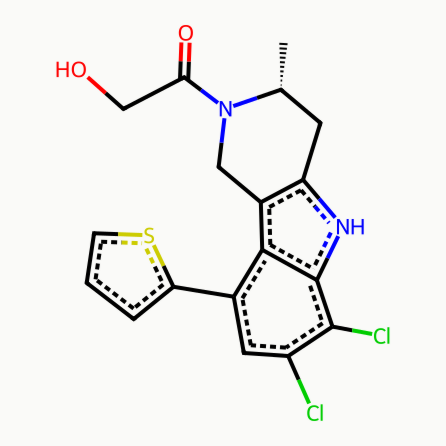 C[C@@H]1Cc2[nH]c3c(Cl)c(Cl)cc(-c4cccs4)c3c2CN1C(=O)CO